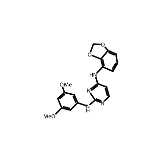 COc1cc(Nc2nccc(Nc3cccc4c3OCO4)n2)cc(OC)c1